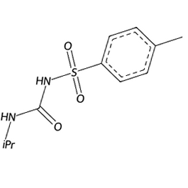 Cc1ccc(S(=O)(=O)NC(=O)NC(C)C)cc1